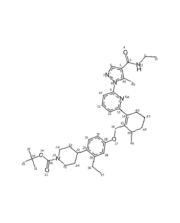 CCNC(=O)c1cnn(-c2cccc(C3=C(COc4ccc(C5CCN(C(=O)OC(C)(C)C)CC5)c(CC)c4)C(C)CCC3)n2)c1C